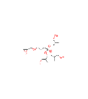 CC(CO)CO[Si](CCCOCC1CO1)(OCC(C)CO)OCC(C)CO